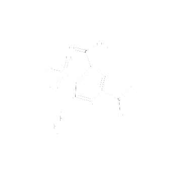 O=C([O-])c1ccc(S(=O)(=O)[O-])c(C(=O)[O-])c1.[K+].[K+].[K+]